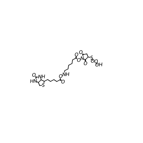 O=C1NC2CSC(CCCCC(=O)ONCCCCCC(=O)ON3C(=O)CC(SOOO)C3=O)C2N1